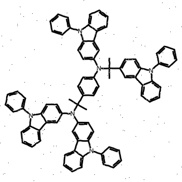 CC(C)(c1ccc(N(c2ccc3c(c2)c2ccccc2n3-c2ccccc2)C(C)(C)c2ccc3c(c2)c2ccccc2n3-c2ccccc2)cc1)N(c1ccc2c(c1)c1ccccc1n2-c1ccccc1)c1ccc2c(c1)c1ccccc1n2-c1ccccc1